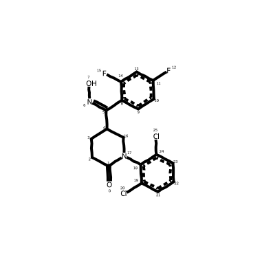 O=C1CCC(C(=NO)c2ccc(F)cc2F)CN1c1c(Cl)cccc1Cl